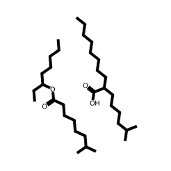 CCCCCC(CC)OC(=O)CCCCCC(C)C.CCCCCCCCC(CCCCC(C)C)C(=O)O